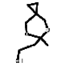 CC1(CCO)OCC2(CC2)CO1